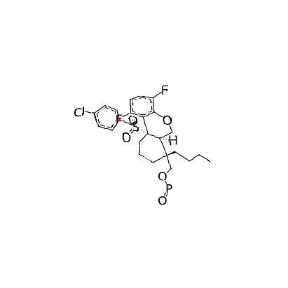 CCCC[C@@]1(COP=O)CCC[C@@]2(S(=O)(=O)c3ccc(Cl)cc3)c3c(F)ccc(F)c3OC[C@@H]12